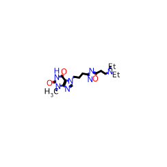 CCN(CC)CCc1nc(CCCn2cnc3c2c(=O)[nH]c(=O)n3C)no1